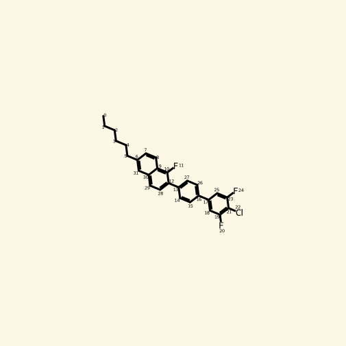 CCCCCCc1ccc2c(F)c(-c3ccc(-c4cc(F)c(Cl)c(F)c4)cc3)ccc2c1